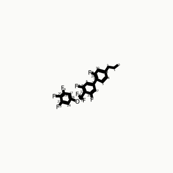 CCCc1ccc(-c2cc(F)c(C(F)(F)Oc3cc(F)c(F)c(F)c3)c(F)c2)c(F)c1